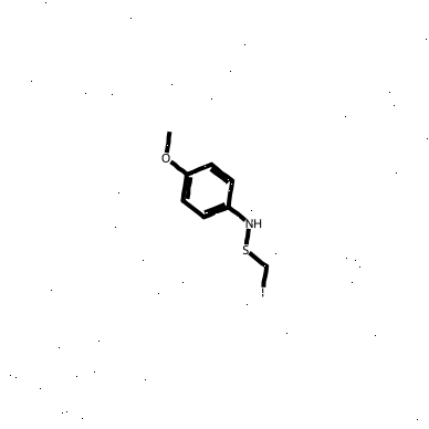 COc1ccc(NSCI)cc1